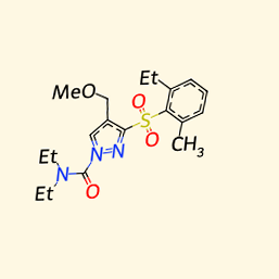 CCc1cccc(C)c1S(=O)(=O)c1nn(C(=O)N(CC)CC)cc1COC